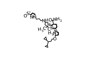 CC1(C)CC(NCCCn2ccc([S+]=O)n2)CN1c1nc(-n2ccc(OCCC(C3CC3)C3CC3)n2)ccc1C(N)=O